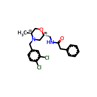 C[C@H]1CO[C@H](CNC(=O)Cc2ccccc2)CN1Cc1ccc(Cl)c(Cl)c1